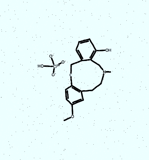 COc1ccc2c(c1)CCN(C)Cc1c(O)cccc1CC2.[O-][Cl+3]([O-])([O-])O